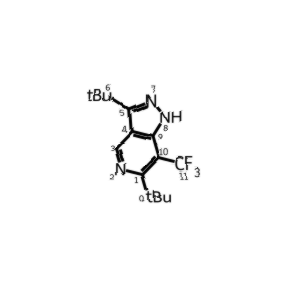 CC(C)(C)c1ncc2c(C(C)(C)C)n[nH]c2c1C(F)(F)F